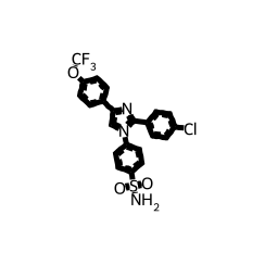 NS(=O)(=O)c1ccc(-n2cc(-c3ccc(OC(F)(F)F)cc3)nc2-c2ccc(Cl)cc2)cc1